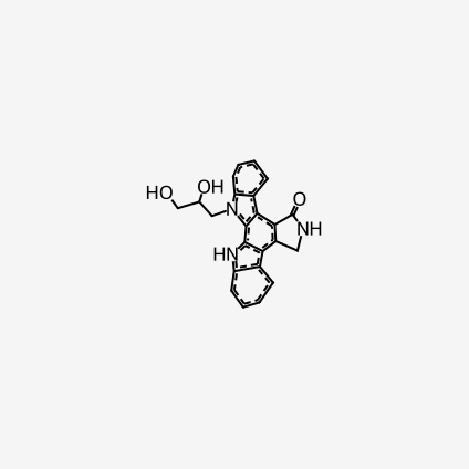 O=C1NCc2c1c1c3ccccc3n(CC(O)CO)c1c1[nH]c3ccccc3c21